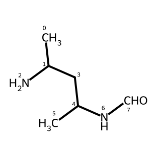 CC(N)CC(C)NC=O